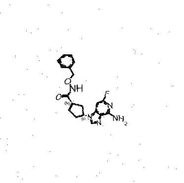 Nc1nc(F)cc2c1ncn2[C@@H]1CC[C@@H](C(=O)NOCc2ccccc2)C1